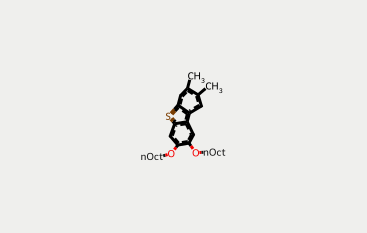 CCCCCCCCOc1cc2sc3cc(C)c(C)cc3c2cc1OCCCCCCCC